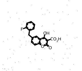 O=C(O)c1c(O)c2cc(Cc3ccccc3F)ccc2oc1=O